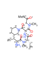 CNC(=O)CN(C)C(=O)C(NC(=O)[C@H](CC(C)C)N(C)C(=O)[C@@H](N)CC(C)C)C(=O)N1CCCCC1